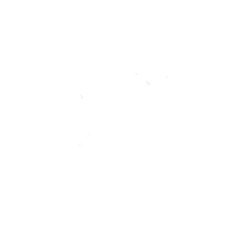 CCC1CCC(C=O)(CS(=O)(=O)N(C)c2ccc(C(=O)NO)cc2)C1(C)C